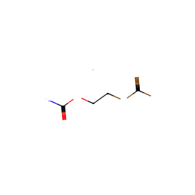 NC(=O)OCCSC(=S)[S-].[K+]